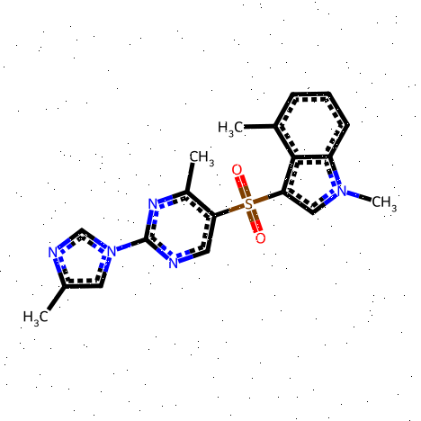 Cc1cn(-c2ncc(S(=O)(=O)c3cn(C)c4cccc(C)c34)c(C)n2)cn1